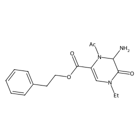 CCN1C=C(C(=O)OCCc2ccccc2)N(C(C)=O)C(N)C1=O